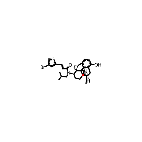 CC(C)CN(C(=O)/C=C/c1cc(Br)cs1)[C@@H]1CC[C@H]2[C@H]3Cc4c(O)ccc5c4[C@@]2(CCN3C)[C@H]1O5